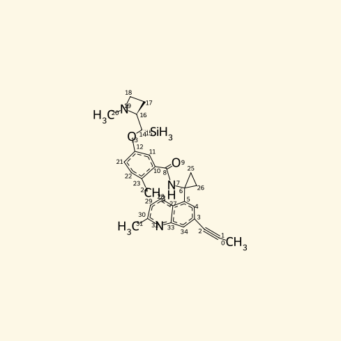 CC#Cc1cc(C2(NC(=O)c3cc(O[C@@H]([SiH3])[C@@H]4CCN4C)ccc3C)CC2)c2ccc(C)nc2c1